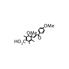 COc1ccc(C(=O)C=CC2(C)C(C)=C(C)C(C(=O)O)=C(C)C2OC)cc1